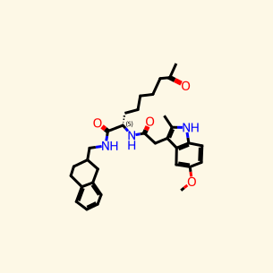 COc1ccc2[nH]c(C)c(CC(=O)N[C@@H](CCCCCC(C)=O)C(=O)NCC3CCc4ccccc4C3)c2c1